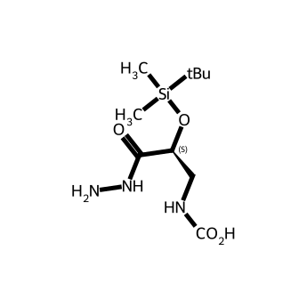 CC(C)(C)[Si](C)(C)O[C@@H](CNC(=O)O)C(=O)NN